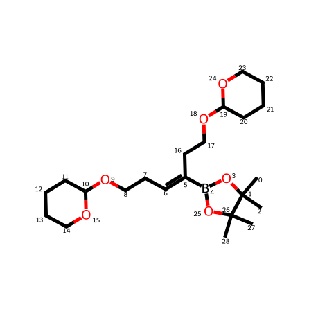 CC1(C)OB(C(=CCCOC2CCCCO2)CCOC2CCCCO2)OC1(C)C